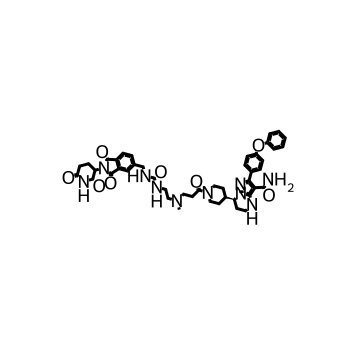 CN(CCNC(=O)NCc1ccc2c(c1)C(=O)N(C1CCC(=O)NC1=O)C2=O)CCC(=O)N1CCC([C@@H]2CCNc3c(C(N)=O)c(-c4ccc(Oc5ccccc5)cc4)nn32)CC1